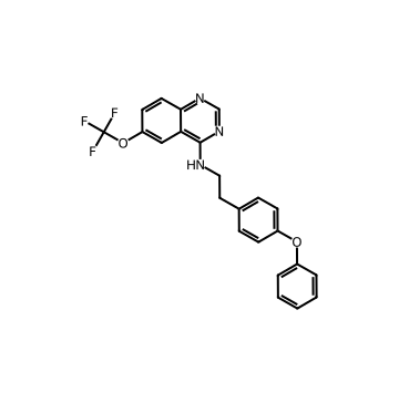 FC(F)(F)Oc1ccc2ncnc(NCCc3ccc(Oc4ccccc4)cc3)c2c1